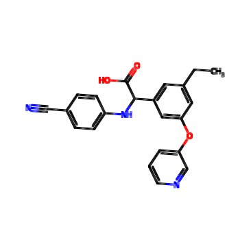 CCc1cc(Oc2cccnc2)cc(C(Nc2ccc(C#N)cc2)C(=O)O)c1